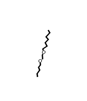 CCCCCCCOCCOCCCCC